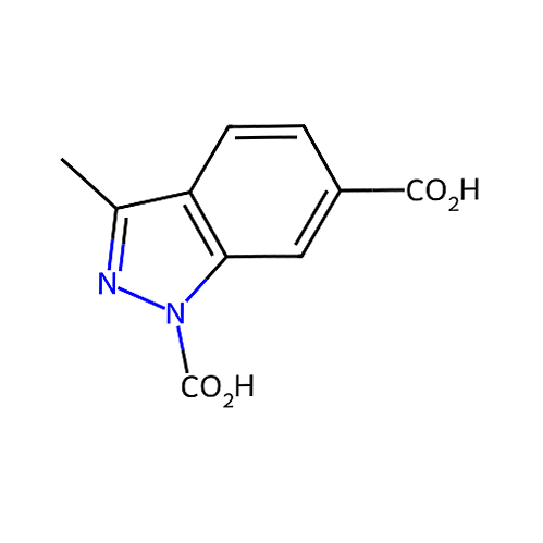 Cc1nn(C(=O)O)c2cc(C(=O)O)ccc12